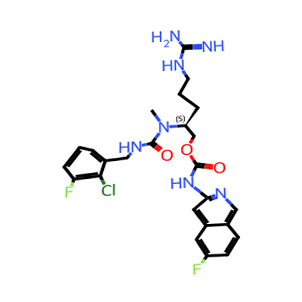 CN(C(=O)NCc1cccc(F)c1Cl)[C@@H](CCCNC(=N)N)COC(=O)Nc1cc2cc(F)ccc2cn1